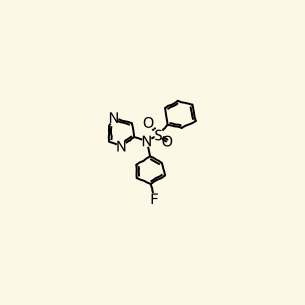 O=S(=O)(c1ccccc1)N(c1ccc(F)cc1)c1cnccn1